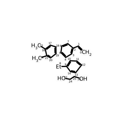 C=Cc1ccccc1.CCc1ccccc1.Cc1ccccc1C.OCCO